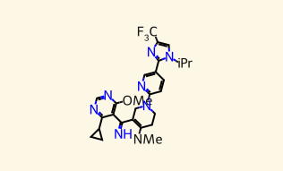 CNC1=C(C(=N)c2c(OC)ncnc2C2CC2)CN(c2ccc(-c3nc(C(F)(F)F)cn3C(C)C)cn2)CC1